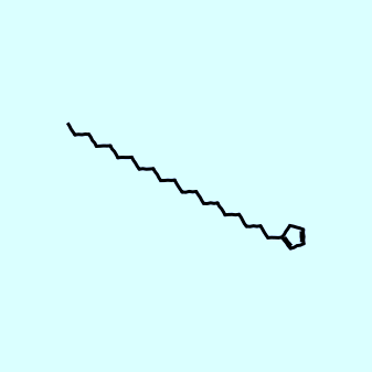 CCCCCCCCCCCCCCCCCCCCC1=CC=CC1